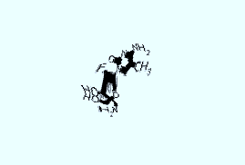 Cc1cn([C@@H]2O[C@](CN)(CO)[C@@H](O)[C@H]2F)c(=O)nc1N